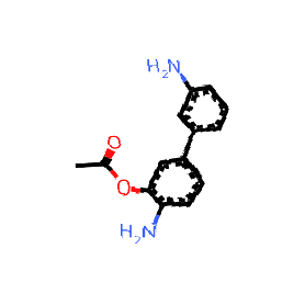 CC(=O)Oc1cc(-c2cccc(N)c2)ccc1N